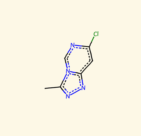 Cc1nnc2cc(Cl)ncn12